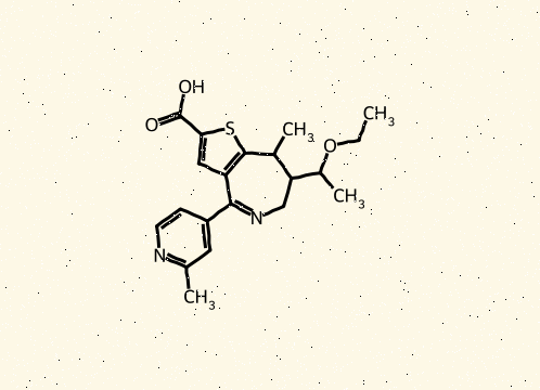 CCOC(C)C1CN=C(c2ccnc(C)c2)c2cc(C(=O)O)sc2C1C